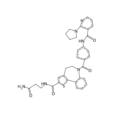 NC(=O)CCNC(=O)c1cc2c(s1)-c1ccccc1N(C(=O)c1ccc(NC(=O)c3cccnc3N3CCCC3)cc1)CC2